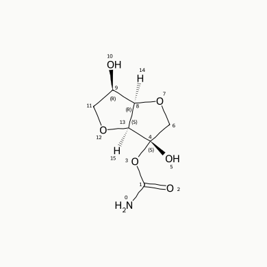 NC(=O)O[C@@]1(O)CO[C@@H]2[C@H](O)CO[C@@H]21